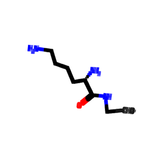 NCCCC[C@H](N)C(=O)NC[C]=O